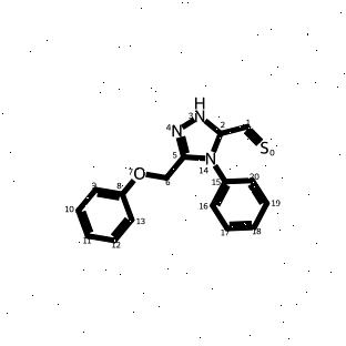 S=CC1NN=C(COc2ccccc2)N1c1ccccc1